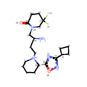 N[C@@H](CCN1CCCC[C@H]1c1nc(C2CCC2)no1)CN1CC(F)(F)CCC1=O